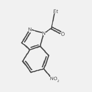 CCC(=O)n1ncc2ccc([N+](=O)[O-])cc21